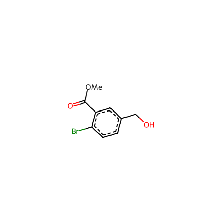 COC(=O)c1cc(CO)ccc1Br